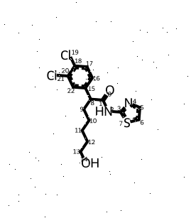 O=C(Nc1nccs1)C(CCCCCO)c1ccc(Cl)c(Cl)c1